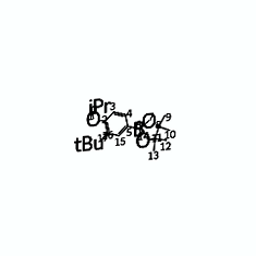 CC(C)Oc1ccc(B2OC(C)(C)C(C)(C)O2)cc1C(C)(C)C